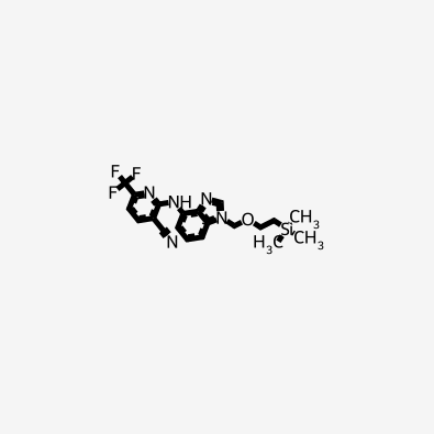 C[Si](C)(C)CCOCn1cnc2c(Nc3nc(C(F)(F)F)ccc3C#N)cccc21